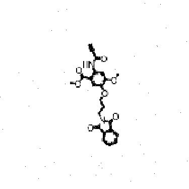 C#CC(=O)Nc1cc(OC)c(OCCCN2C(=O)c3ccccc3C2=O)cc1C(=O)OC